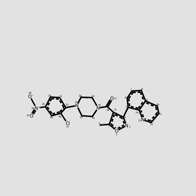 Cc1onc(-c2cccc3cccnc23)c1C(=O)N1CCN(c2ccc([N+](=O)[O-])cc2Cl)CC1